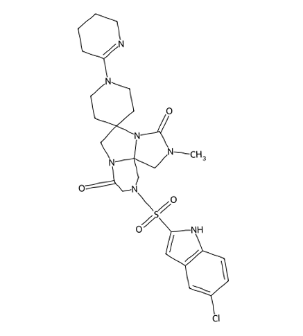 CN1CC23CN(S(=O)(=O)c4cc5cc(Cl)ccc5[nH]4)CC(=O)N2CC2(CCN(C4=NCCCC4)CC2)N3C1=O